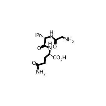 CC(C)[C@H](NC(=O)CN)C(=O)N[C@@H](CCC(N)=O)C(=O)O